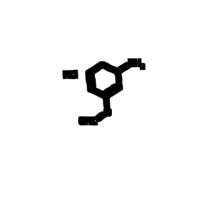 Cl.NC1C=C(OC=O)C=CC1